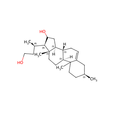 C[C@H]1CCC2(C)C(=CC[C@@H]3[C@@H]2CC[C@]2(C)[C@@H]([C@H](C)CCO)C(O)C[C@@H]32)C1